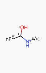 CCCC(O)NC(C)=O